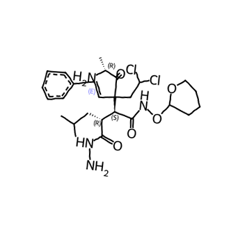 CC(C)C[C@@H](C(=O)NN)[C@H](C(=O)NOC1CCCCO1)C(/C=C/c1ccccc1)(CC(Cl)Cl)C(=O)[C@@H](C)N